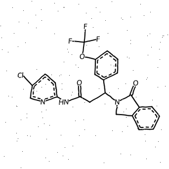 O=C(CC(c1cccc(OC(F)(F)F)c1)N1Cc2ccccc2C1=O)Nc1ccc(Cl)cn1